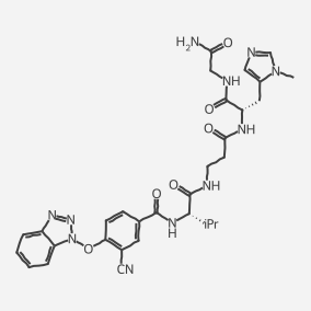 CC(C)[C@H](NC(=O)c1ccc(On2nnc3ccccc32)c(C#N)c1)C(=O)NCCC(=O)N[C@@H](Cc1cncn1C)C(=O)NCC(N)=O